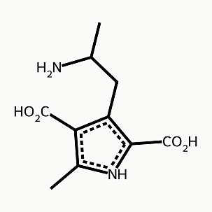 Cc1[nH]c(C(=O)O)c(CC(C)N)c1C(=O)O